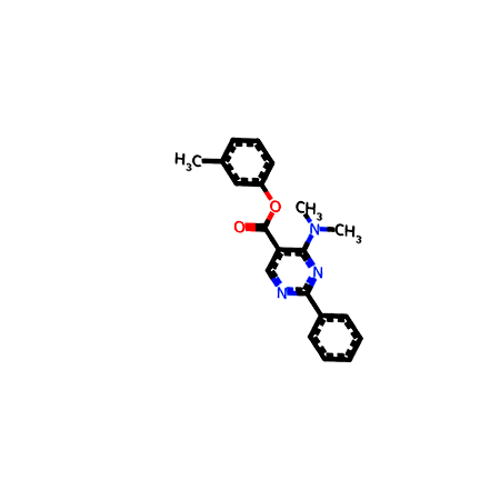 Cc1cccc(OC(=O)c2cnc(-c3ccccc3)nc2N(C)C)c1